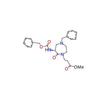 COC(=O)CCN1CCN(Cc2ccccc2)C[C@H](NC(=O)OCc2ccccc2)C1=O